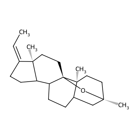 C/C=C1/CCC2C3CCC4C[C@]5(C)CC[C@]4(C)[C@]3(CC[C@]12C)O5